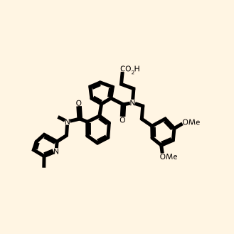 COc1cc(CCN(CCC(=O)O)C(=O)c2ccccc2-c2ccccc2C(=O)N(C)Cc2cccc(C)n2)cc(OC)c1